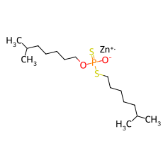 CC(C)CCCCCOP([O-])(=S)SCCCCCC(C)C.[Zn+]